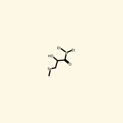 CCN(CC)C(=O)C(O)C[Se]C